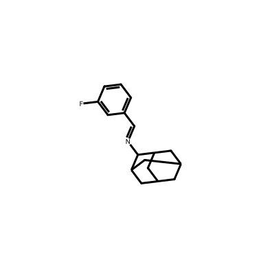 Fc1cccc(C=NC2C3CC4CC(C3)CC2C4)c1